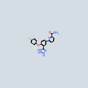 NC(=O)c1cccc(-c2ccc(Oc3ccc(F)cc3)c(C3=NNNN3)c2)n1